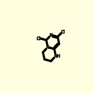 ClC1=NC(Cl)N2CCCNC2=C1